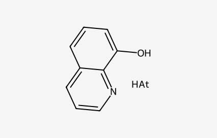 Oc1cccc2cccnc12.[AtH]